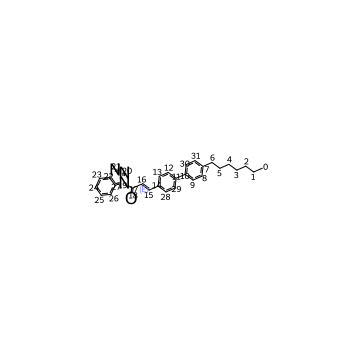 CCCCCCCc1ccc(-c2ccc(/C=C/C(=O)n3nnc4ccccc43)cc2)cc1